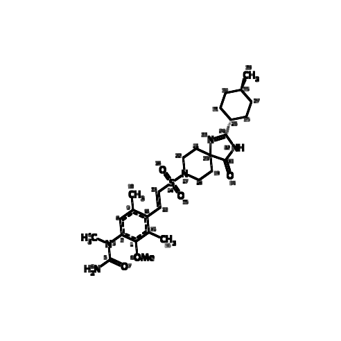 COc1c(N(C)C(N)=O)cc(C)c(/C=C/S(=O)(=O)N2CCC3(CC2)N=C([C@H]2CC[C@H](C)CC2)NC3=O)c1C